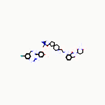 COc1cc2nc(C)nc(N[C@H](C)c3cc(N)cc(C(F)(F)F)c3)c2cc1OCC1(C(=O)C2(N)CCC3(CCC(N)(C(=O)CNc4cccc5c4C(=O)N(C4CCC(=O)NC4=O)C5=O)CC3)C2)CC1